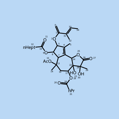 C=C(OC1C(C)=C2C(C1OC(=O)CCCCCCC)C(C)(OC(C)=O)CC(OC(=O)CCC)C1(O)C2OC(=O)C1(C)O)/C(C)=C/C